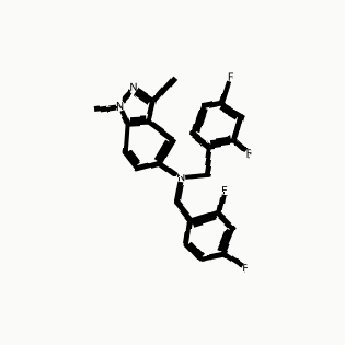 Cc1nn(C)c2ccc(N(Cc3ccc(F)cc3F)Cc3ccc(F)cc3F)cc12